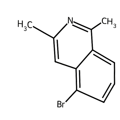 Cc1cc2c(Br)cccc2c(C)n1